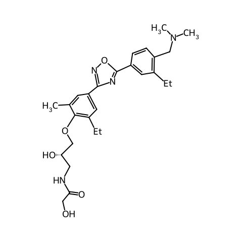 CCc1cc(-c2nc(-c3cc(C)c(OC[C@@H](O)CNC(=O)CO)c(CC)c3)no2)ccc1CN(C)C